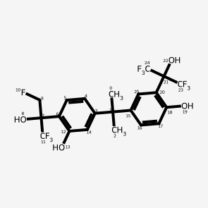 CC(C)(c1ccc(C(O)(CF)C(F)(F)F)c(O)c1)c1ccc(O)c(C(O)(C(F)(F)F)C(F)(F)F)c1